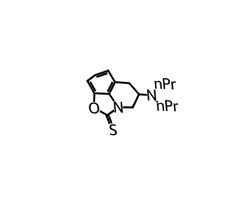 CCCN(CCC)C1Cc2cccc3oc(=S)n(c23)C1